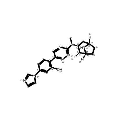 CN(c1ncc(-c2ccc(-n3ccnc3)cc2O)nn1)[C@H]1C[C@@H]2CC[C@@H](N2)[C@H]1F